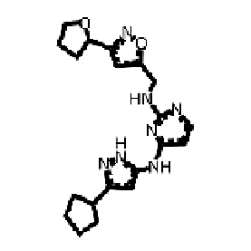 c1cc(Nc2cc(C3CCCC3)n[nH]2)nc(NCc2cc(C3CCCO3)no2)n1